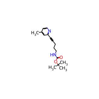 Cc1ccnc(C#CCCCNC(=O)OC(C)(C)C)c1